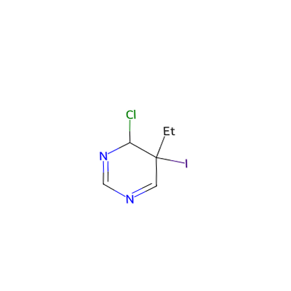 CCC1(I)C=NC=NC1Cl